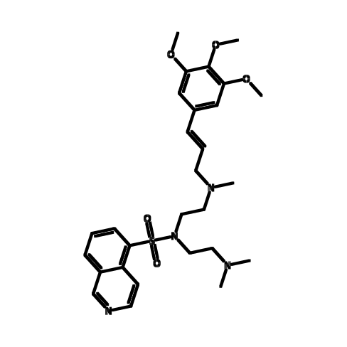 COc1cc(/C=C/CN(C)CCN(CCN(C)C)S(=O)(=O)c2cccc3cnccc23)cc(OC)c1OC